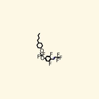 CCCCC1CCC(OCC(F)(F)Oc2cc(F)c(/C=C/C(F)(F)F)c(F)c2)CC1